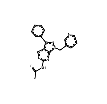 CC(=O)Nc1ncc2c(-c3ccccc3)nn(Cc3cccnc3)c2n1